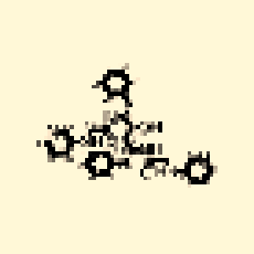 O=C(CNc1cccnc1)N[C@@H](Cc1ccccc1)C[C@H](O)[C@H](Cc1ccccc1)NC(=O)CNc1cccnc1